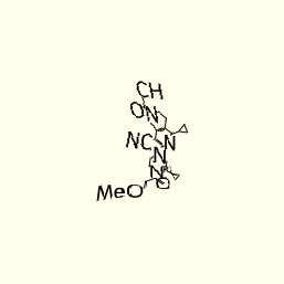 C#CC(=O)N1CCc2c(C3CC3)nc(N3CCN(C(=O)CCOC)[C@H](C4=CC4)C3)c(C#N)c2C1